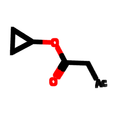 CC(=O)CC(=O)OC1CC1